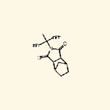 CCCC(C)(CCC)N1C(=O)C2C3CCC(C3)C2C1=O